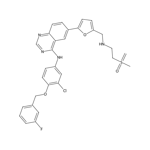 C=S(C)(=O)CCNCc1ccc(-c2ccc3ncnc(Nc4ccc(OCc5cccc(F)c5)c(Cl)c4)c3c2)o1